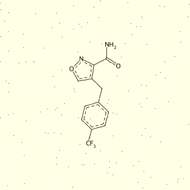 NC(=O)c1nocc1Cc1ccc(C(F)(F)F)cc1